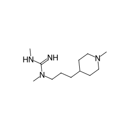 CNC(=N)N(C)CCCC1CCN(C)CC1